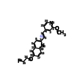 COc1cc(/C=C/c2ccc3cc(OCCF)ccc3n2)ccn1